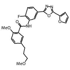 COCCCc1ccc(OC)c(C(=O)Nc2cc(-c3nnc(-c4ccco4)o3)ccc2F)c1